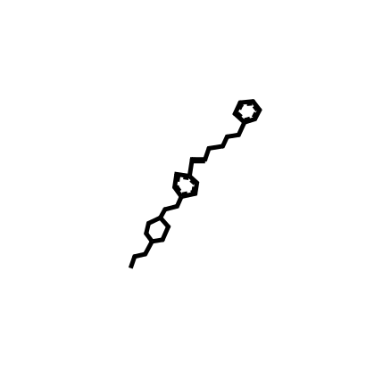 CCCC1CCC(CCc2ccc(C=CCCCCc3ccccc3)cc2)CC1